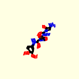 NC1CN(C(=O)NS(=O)(=O)NCC(=O)Nc2ccc(O)c(O)c2)C1=O